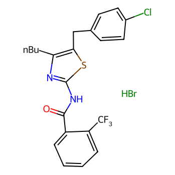 Br.CCCCc1nc(NC(=O)c2ccccc2C(F)(F)F)sc1Cc1ccc(Cl)cc1